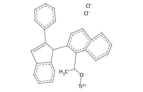 CC([O][Ti+2])c1c(C2C(c3ccccc3)=Cc3ccccc32)ccc2ccccc12.[Cl-].[Cl-]